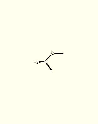 SP(I)OI